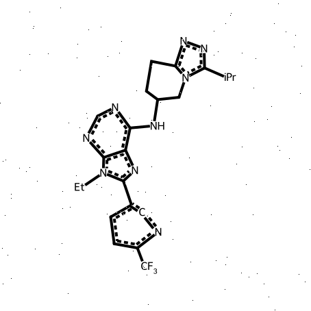 CCn1c(-c2ccc(C(F)(F)F)nc2)nc2c(NC3CCc4nnc(C(C)C)n4C3)ncnc21